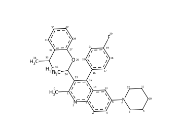 Cc1nc2ccc(N3CCCCC3)cc2c(-c2ccc(F)cc2)c1C(C)Oc1ccccc1C(C)C